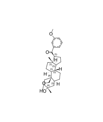 COC[C@]12CC[C@@](C)(O)C[C@@H]1CC[C@H]1[C@@H]3CC[C@H](C(=O)c4cccc(OC)c4)[C@@]3(C)CC[C@@H]12